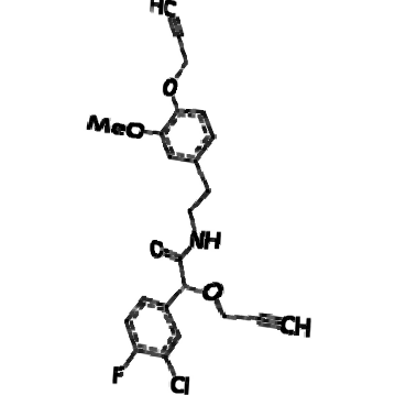 C#CCOc1ccc(CCNC(=O)C(OCC#C)c2ccc(F)c(Cl)c2)cc1OC